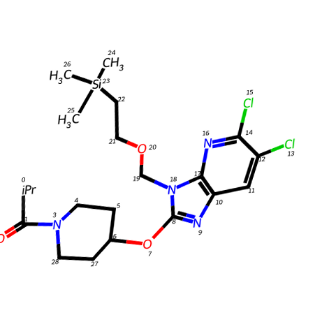 CC(C)C(=O)N1CCC(Oc2nc3cc(Cl)c(Cl)nc3n2COCC[Si](C)(C)C)CC1